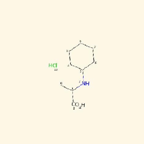 CC(NC1CCCCC1)C(=O)O.Cl